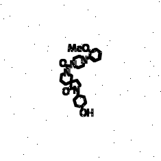 COc1ccccc1N1CCN(C(=O)N2CCCC3(CCN(C4CCC(O)CC4)C3=O)C2)CC1